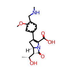 CNCc1ccc(C2=C(C(=O)O)N3C(=O)[C@H]([C@@H](C)O)[C@H]3C2)cc1OC